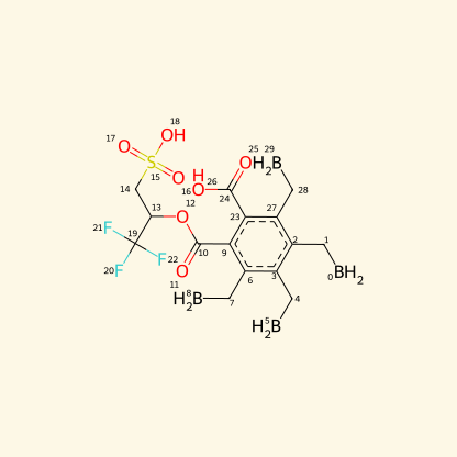 BCc1c(CB)c(CB)c(C(=O)OC(CS(=O)(=O)O)C(F)(F)F)c(C(=O)O)c1CB